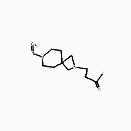 C=NN1CCC2(CC1)CN(CCC(=O)I)C2